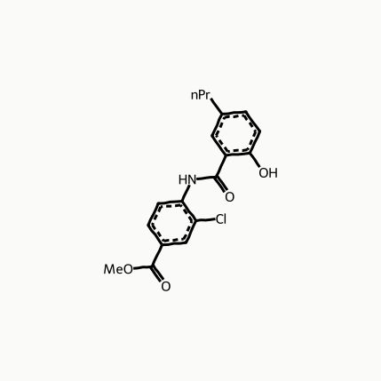 CCCc1ccc(O)c(C(=O)Nc2ccc(C(=O)OC)cc2Cl)c1